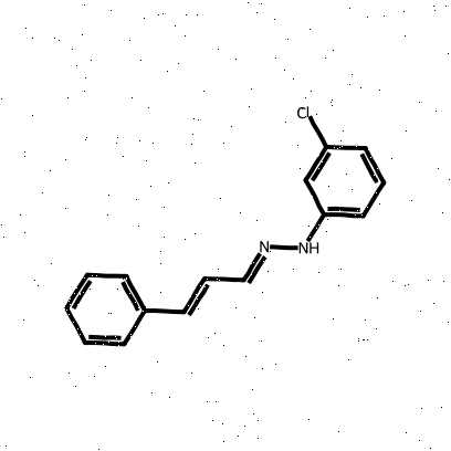 Clc1cccc(NN=CC=Cc2ccccc2)c1